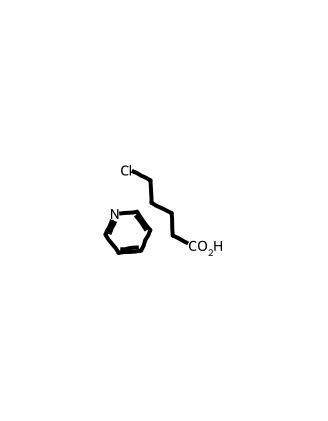 O=C(O)CCCCCl.c1ccncc1